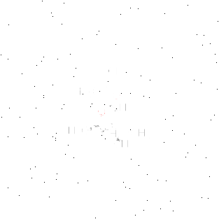 CC(C)O[SiH](CC(C)(C)C)OC(C)C